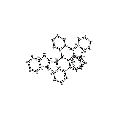 c1ccc2c(c1)B(c1ccccc1-n1c3ccccc3c3ccccc31)n1c3c-2cccc3n2c3ccccc3nc12